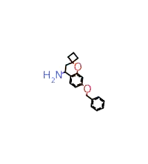 NC1CC2(CCC2)Oc2cc(OCc3ccccc3)ccc21